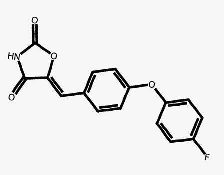 O=C1NC(=O)C(=Cc2ccc(Oc3ccc(F)cc3)cc2)O1